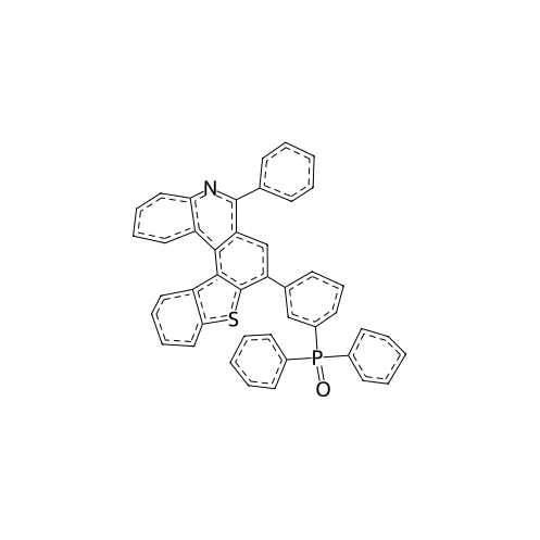 O=P(c1ccccc1)(c1ccccc1)c1cccc(-c2cc3c(-c4ccccc4)nc4ccccc4c3c3c2sc2ccccc23)c1